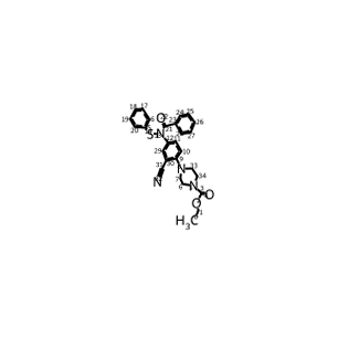 CCOC(=O)N1CCN(c2ccc(N(Sc3ccccc3)C(=O)c3ccccc3)cc2C#N)CC1